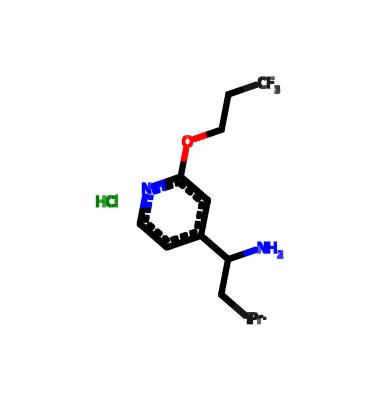 C[C](C)CC(N)c1ccnc(OCCC(F)(F)F)c1.Cl